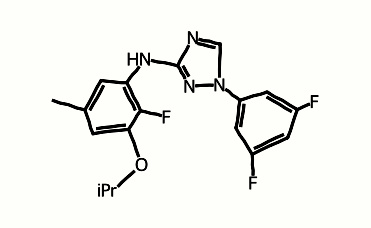 Cc1cc(Nc2ncn(-c3cc(F)cc(F)c3)n2)c(F)c(OC(C)C)c1